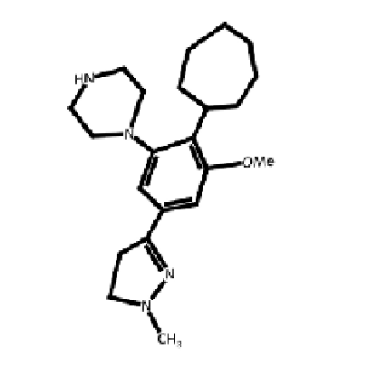 COc1cc(C2=NN(C)CC2)cc(N2CCNCC2)c1C1CCCCCC1